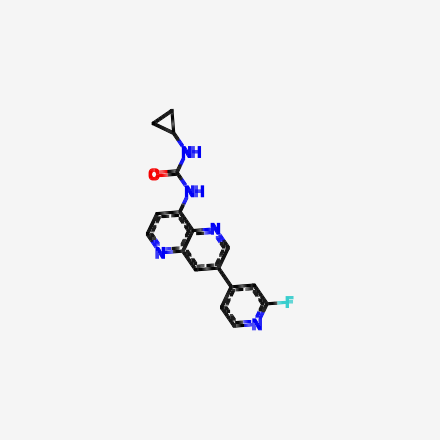 O=C(Nc1ccnc2cc(-c3ccnc(F)c3)cnc12)NC1CC1